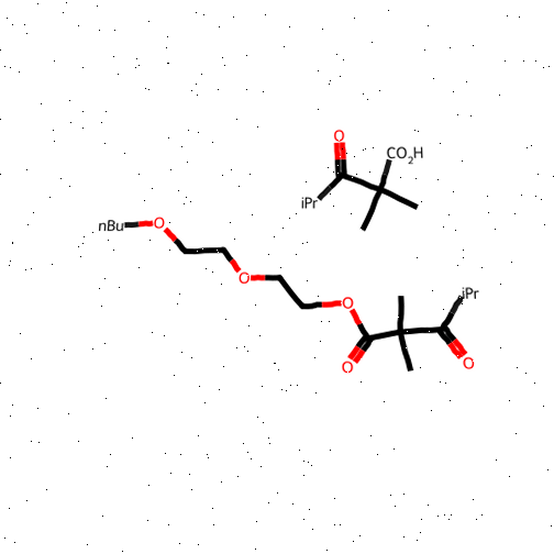 CC(C)C(=O)C(C)(C)C(=O)O.CCCCOCCOCCOC(=O)C(C)(C)C(=O)C(C)C